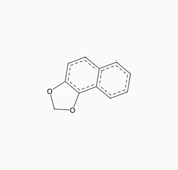 [c]1cccc2c3c(ccc12)OCO3